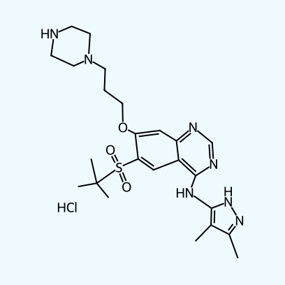 Cc1n[nH]c(Nc2ncnc3cc(OCCCN4CCNCC4)c(S(=O)(=O)C(C)(C)C)cc23)c1C.Cl